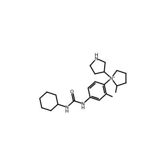 Cc1cc(NC(=O)NC2CCCCC2)ccc1[N+]1(C2CCNC2)CCCC1C